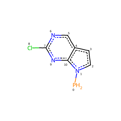 Pn1ccc2cnc(Cl)nc21